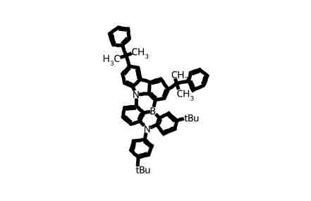 CC(C)(C)c1ccc(N2c3ccc(C(C)(C)C)cc3B3c4c2cccc4-n2c4ccc(C(C)(C)c5ccccc5)cc4c4cc(C(C)(C)c5ccccc5)cc3c42)cc1